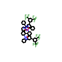 N#Cc1cccc(-n2c3ccccc3c3cc(-c4cc(C(F)(F)F)cc(C(F)(F)F)c4)ccc32)c1-c1c(-c2nc(-c3ccccc3)nc(-c3ccccc3)n2)cccc1-n1c2ccccc2c2cc(-c3cc(C(F)(F)F)cc(C(F)(F)F)c3)ccc21